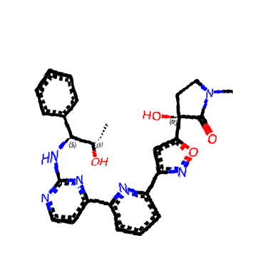 C[C@H](O)[C@@H](Nc1nccc(-c2cccc(-c3cc([C@]4(O)CCN(C)C4=O)on3)n2)n1)c1ccccc1